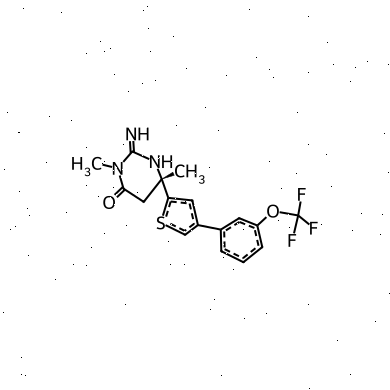 CN1C(=N)N[C@](C)(c2cc(-c3cccc(OC(F)(F)F)c3)cs2)CC1=O